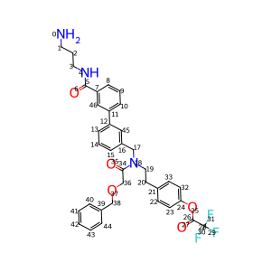 NCCCNC(=O)c1cccc(-c2cccc(CN(CCc3ccc(OC(=O)C(F)(F)F)cc3)C(=O)COCc3ccccc3)c2)c1